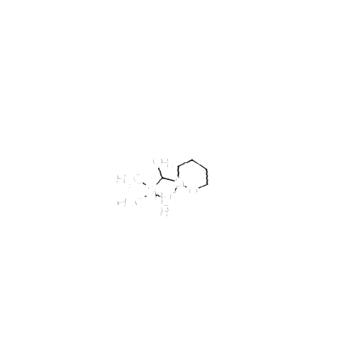 CC([Si](C)(C)C)[Si]1(C)CCCCO1